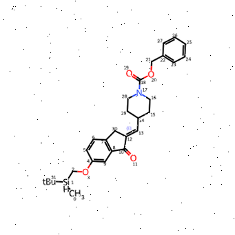 C[SiH](COc1ccc2c(c1)C(=O)/C(=C/C1CCN(C(=O)OCc3ccccc3)CC1)C2)C(C)(C)C